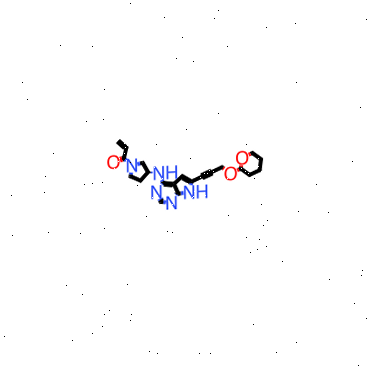 C=CC(=O)N1CC[C@@H](Nc2ncnc3[nH]c(C#CCOC4CCCCO4)cc23)C1